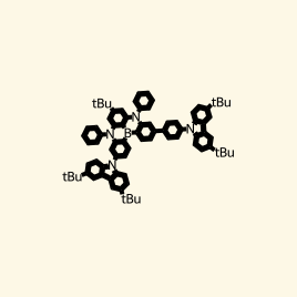 CC(C)(C)c1cc2c3c(c1)N(c1ccccc1)c1cc(-n4c5ccc(C(C)(C)C)cc5c5cc(C(C)(C)C)ccc54)ccc1B3c1ccc(-c3ccc(-n4c5ccc(C(C)(C)C)cc5c5cc(C(C)(C)C)ccc54)cc3)cc1N2c1ccccc1